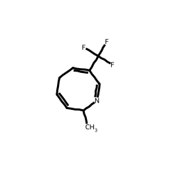 CC1C=CC/C=C(C(F)(F)F)\C=N/1